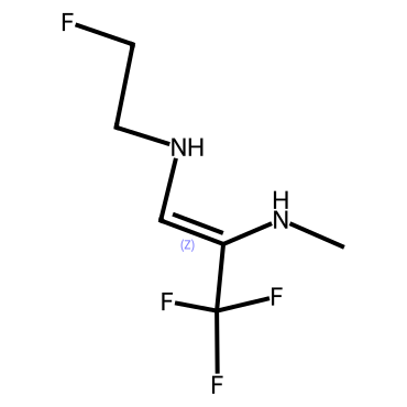 CN/C(=C\NCCF)C(F)(F)F